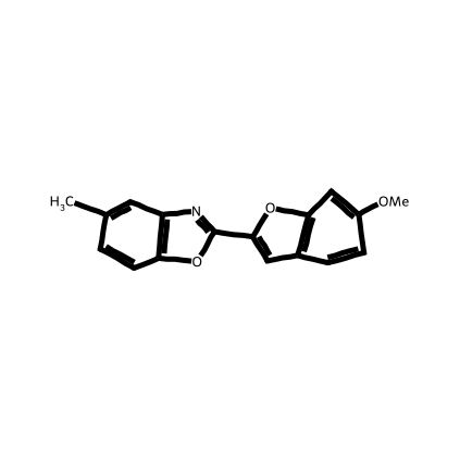 COc1ccc2cc(-c3nc4cc(C)ccc4o3)oc2c1